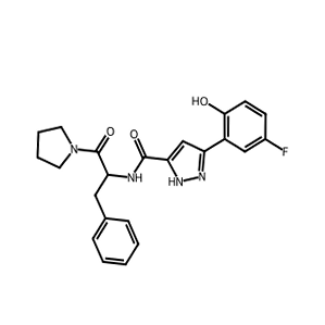 O=C(NC(Cc1ccccc1)C(=O)N1CCCC1)c1cc(-c2cc(F)ccc2O)n[nH]1